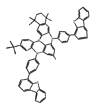 Cc1cc2c3c(c1)N(c1ccc(-c4cccc5c4sc4ccccc45)cc1)c1cc4c(cc1B3c1ccc(C(C)(C)C)cc1N2c1ccc(-c2cccc3c2sc2ccccc23)cc1)C(C)(C)CCC4(C)C